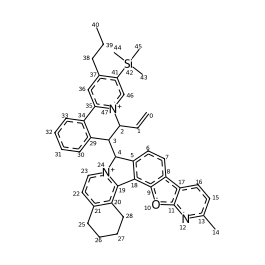 C=CC1C(C2c3ccc4c(oc5nc(C)ccc54)c3-c3c4c(cc[n+]32)CCCC4)c2ccccc2-c2cc(CCC)c([Si](C)(C)C)c[n+]21